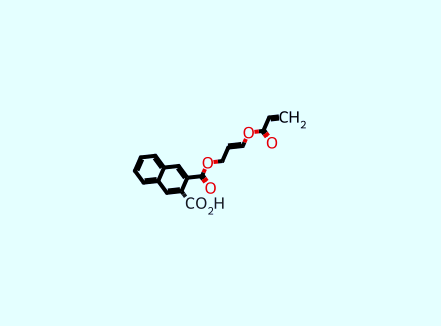 C=CC(=O)OC=CCOC(=O)c1cc2ccccc2cc1C(=O)O